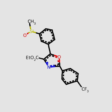 CCOC(=O)c1nc(-c2ccc(C(F)(F)F)cc2)oc1-c1cccc([S+](C)[O-])c1